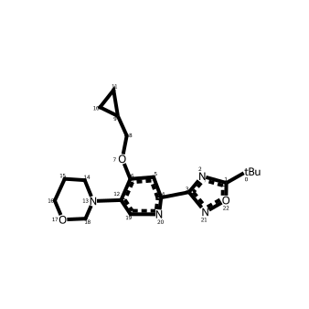 CC(C)(C)c1nc(-c2cc(OCC3CC3)c(N3CCCOC3)cn2)no1